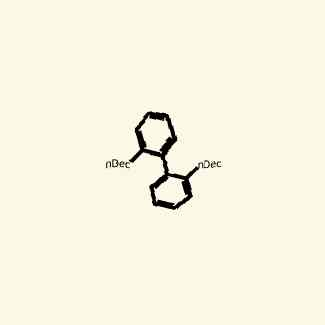 CCCCCCCCCCc1ccccc1-c1ccccc1CCCCCCCCCC